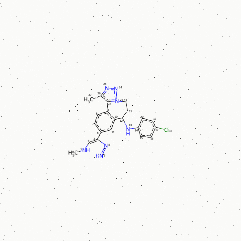 CN/C=C(\N=N)c1ccc2c(c1)C(Nc1ccc(Cl)cc1)CCn1nnc(C)c1-2